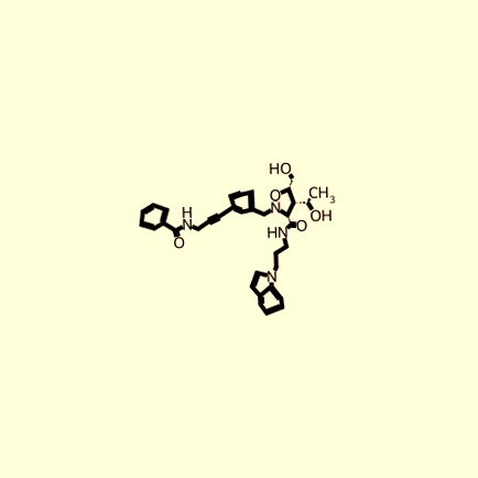 C[C@@H](O)[C@H]1[C@@H](CO)ON(Cc2cccc(C#CCNC(=O)c3ccccc3)c2)[C@H]1C(=O)NCCCn1ccc2ccccc21